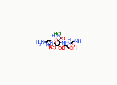 CNCC(=O)NC(CO)C(=O)N[C@H]1[C@H](O)[C@@H](O)[C@H](n2ccc(N)nc2=O)O[C@@H]1C(N)=O.Cl